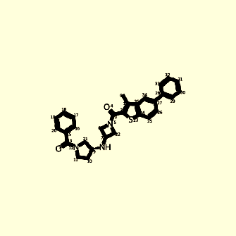 Cc1c(C(=O)N2CC(N[C@H]3CCN(C(=O)c4ccccc4)C3)C2)sc2ccc(-c3ccccc3)cc12